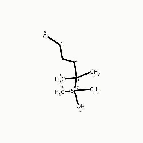 CC(C)(CCCCl)[Si](C)(C)O